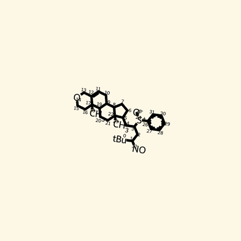 CC(C)(C)C(CC(CC1CCC2C3CC=C4COCCC4(C)C3CCC12C)[S+]([O-])c1ccccc1)N=O